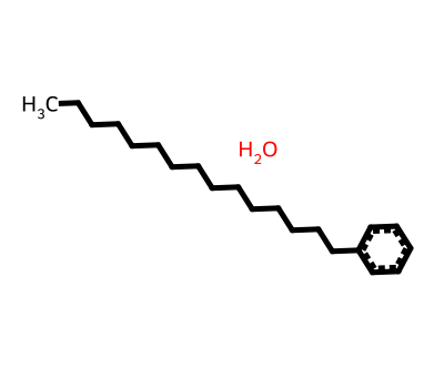 CCCCCCCCCCCCCCCc1ccccc1.O